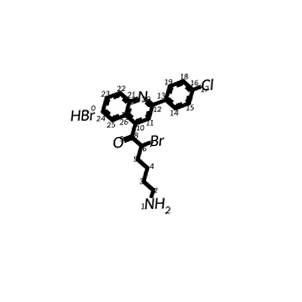 Br.NCCCCC(Br)C(=O)c1cc(-c2ccc(Cl)cc2)nc2ccccc12